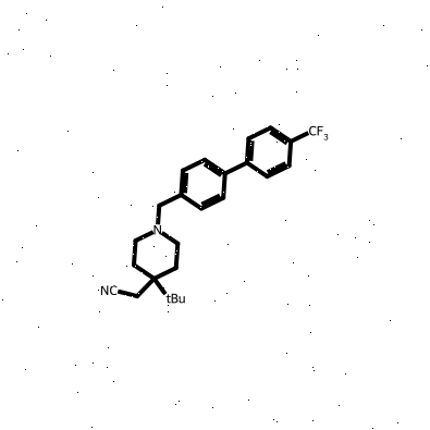 CC(C)(C)C1(CC#N)CCN(Cc2ccc(-c3ccc(C(F)(F)F)cc3)cc2)CC1